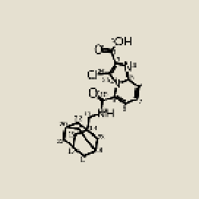 O=C(O)c1nc2cccc(C(=O)NCC34CC5CC(CC(C5)C3)C4)n2c1Cl